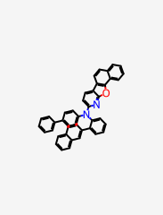 c1ccc(-c2ccc(N(c3ccc4c(n3)oc3c5ccccc5ccc43)c3ccccc3-c3ccc4ccccc4c3)cc2)cc1